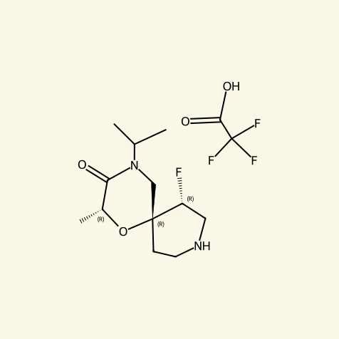 CC(C)N1C[C@@]2(CCNC[C@H]2F)O[C@H](C)C1=O.O=C(O)C(F)(F)F